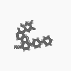 Cc1cc(-c2c(C)ccc3c2oc2c(-c4ccc(-c5ccccc5)cc4)ccc(C#N)c23)[n+](C)cc1F